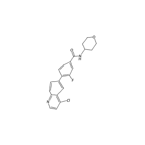 O=C(NC1CCOCC1)c1ccc(-c2ccc3nccc(Cl)c3c2)c(F)c1